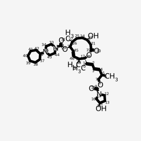 C/C(=C\C=C\C(C)COC(=O)N1CC[C@@H](O)C1)[C@H]1OC(=O)C[C@@H](O)CC[C@@H](C)[C@@H](OC(=O)N2CCN(C3CCCCCC3)CC2)/C=C/[C@@H]1C